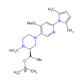 COc1cc(-n2c(C)ccc2C)ncc1N1CCN(C(=O)O)[C@H](C(O[SiH](C)C)C(C)(C)C)C1